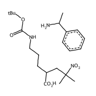 CC(C)(C)OC(=O)NCCCC(CC(C)(C)[N+](=O)[O-])C(=O)O.CC(N)c1ccccc1